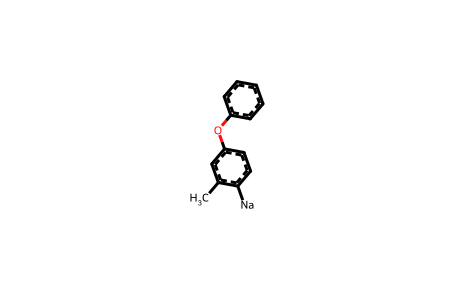 Cc1cc(Oc2ccccc2)cc[c]1[Na]